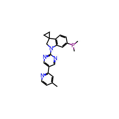 Cc1ccnc(-c2cnc(N3CC4(CC4)c4ccc(P(C)C)cc43)nc2)c1